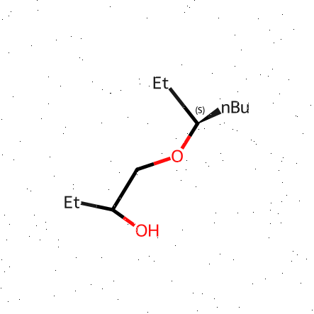 CCCC[C@H](CC)OCC(O)CC